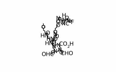 Cc1ccc(CCCC(=O)NCCCC[C@H](NC(=O)CN2CCN(COC=O)CCN(COC=O)CCN(CC(=O)O)CC2)C(=O)NC(=O)CC(=O)N2CCC(CCCOc3ccc4nccc(C(=O)NCC(=O)N5CC(C)(F)C[C@@H]5C#N)c4c3)CC2)cc1